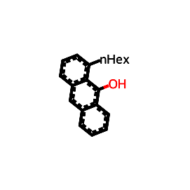 CCCCCCc1cccc2cc3ccccc3c(O)c12